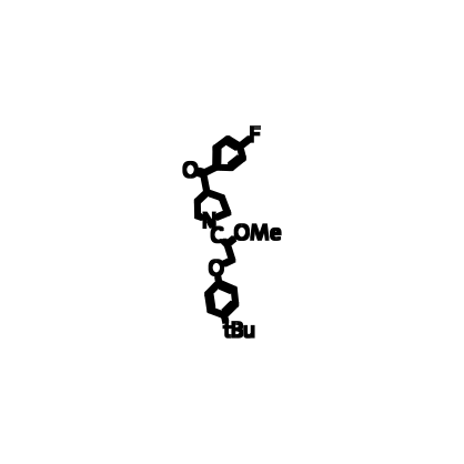 COC(COc1ccc(C(C)(C)C)cc1)CN1CCC(C(=O)c2ccc(F)cc2)CC1